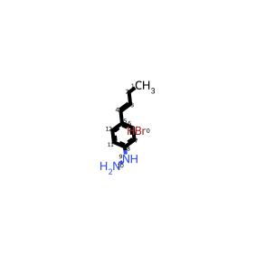 Br.CCC=Cc1ccc(NN)cc1